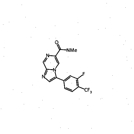 CNC(=O)c1cn2c(-c3ccc(C(F)(F)F)c(F)c3)cnc2cn1